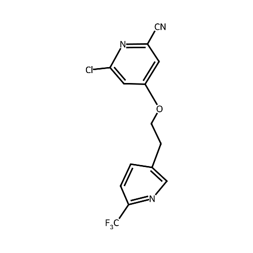 N#Cc1cc(OCCc2ccc(C(F)(F)F)nc2)cc(Cl)n1